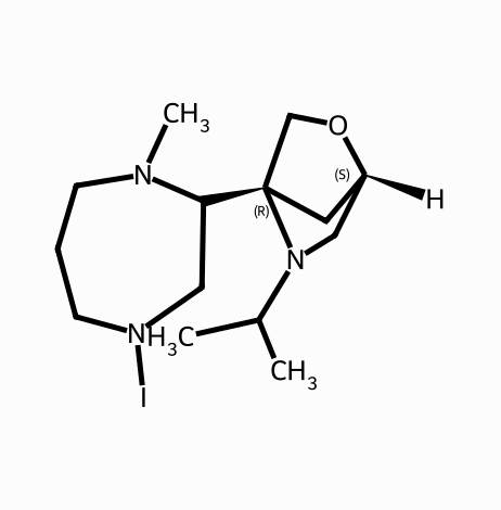 CC(C)N1C[C@@H]2C[C@@]1(C1CN(I)CCCN1C)CO2